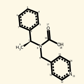 C[C@@H](c1ccccc1)N(Cc1ccncc1)C(=O)O